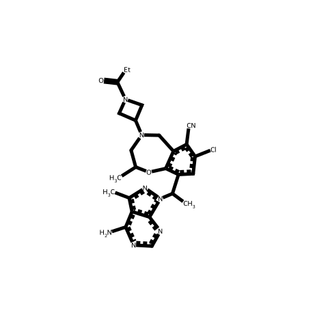 CCC(=O)N1CC(N2Cc3c(C#N)c(Cl)cc(C(C)n4nc(C)c5c(N)ncnc54)c3OC(C)C2)C1